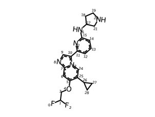 FC(F)COc1cc2ncc(-c3cccc(NC4CCNC4)n3)n2cc1C1CC1